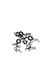 CCS(=O)(=O)c1ccc(NC(=O)OC)cc1[C@H]1CCCN1C(=O)[C@H](c1cc(OC)c(C)cc1F)N(N)c1ccc2cnccc2c1.O=C(O)C(F)(F)F